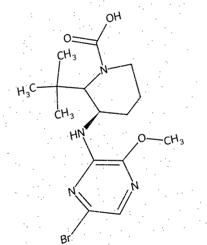 COc1ncc(Br)nc1N[C@@H]1CCCN(C(=O)O)C1C(C)(C)C